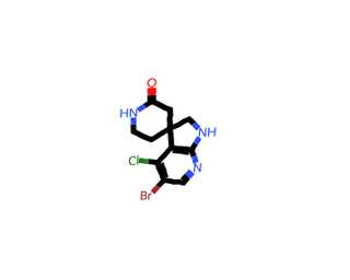 O=C1CC2(CCN1)CNc1ncc(Br)c(Cl)c12